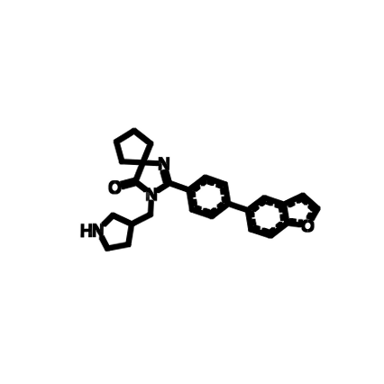 O=C1N(CC2CCNC2)C(c2ccc(-c3ccc4occc4c3)cc2)=NC12CCCC2